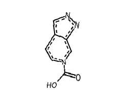 O=C(O)n1ccc2cnnc-2c1